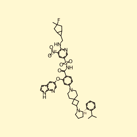 CC(C)c1ccccc1[C@@H]1CCCN1C1CC2(CCN(c3ccc(C(=O)NS(=O)(=O)c4cnc(NCC5C6CC(C)(F)CC56)c([N+](=O)[O-])c4)c(Oc4cnc5[nH]ccc5c4)c3)CC2)C1